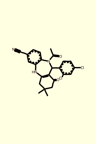 CC(=O)N1c2ccc(C#N)cc2NC2=C(C(=O)CC(C)(C)C2)C1c1ccc(Cl)cc1Cl